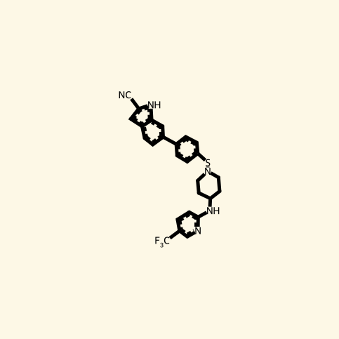 N#Cc1cc2ccc(-c3ccc(SN4CCC(Nc5ccc(C(F)(F)F)cn5)CC4)cc3)cc2[nH]1